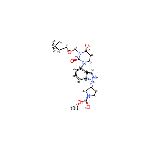 CC(C)(C)OC(=O)N1CC[C@H](n2ncc3c(N4CCC(=O)N(COCC[Si](C)(C)C)C4=O)cccc32)C1